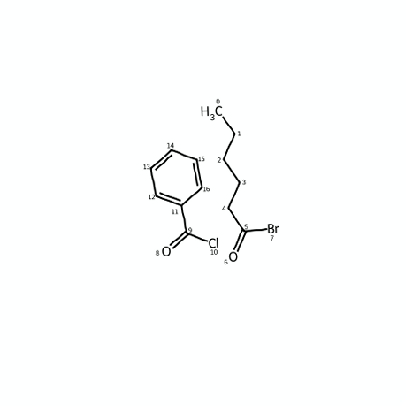 CCCCCC(=O)Br.O=C(Cl)c1ccccc1